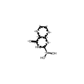 O=c1[nH]c(N(O)O)nc2nccnc12